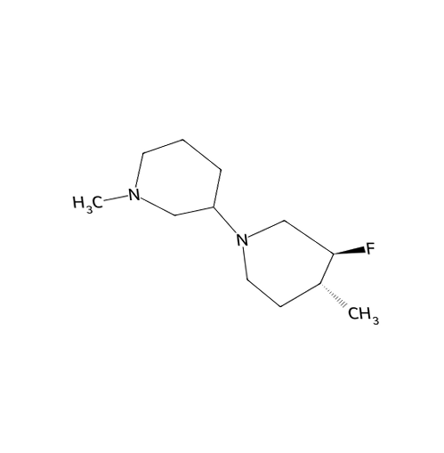 C[C@@H]1CCN(C2CCCN(C)C2)C[C@H]1F